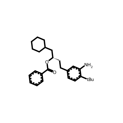 CC(C)(C)c1ccc(CC[C@@H](CC2CCCCC2)OC(=O)c2ccccc2)cc1N